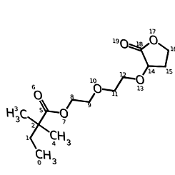 CCC(C)(C)C(=O)OCCOCCOC1CCOC1=O